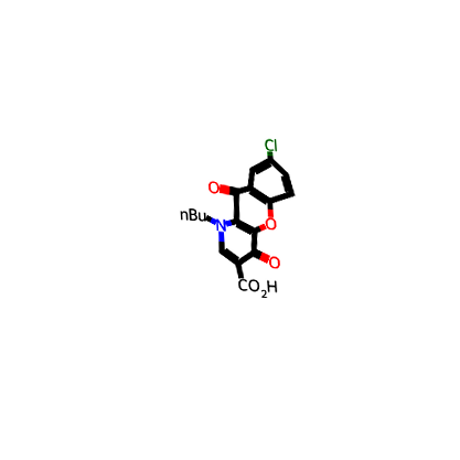 CCCCn1cc(C(=O)O)c(=O)c2oc3ccc(Cl)cc3c(=O)c21